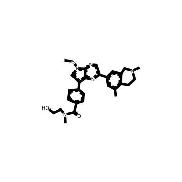 Cc1cc(-c2cnc3c(n2)c(-c2ccc(C(=O)N(C)CCO)cc2)cn3SI)cc2c1CCN(C)C2